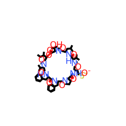 CCC(C)C1OC(=O)C(C(C)(C)O)N(C)C(=O)C(CC(C)C)NC(=O)C(C(C)C)N(C)C(=O)C(CC[S+](C)[O-])NC(=O)C2CCCN2C(=O)C(Cc2ccccc2)N(C)C(=O)C(Cc2ccccc2)NC(=O)C(C(C)C)N(C)C1=O